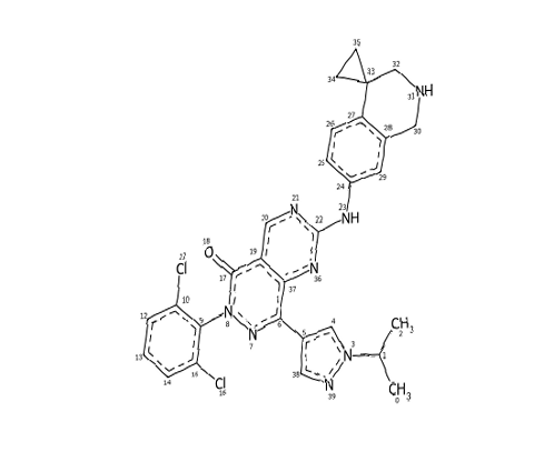 CC(C)n1cc(-c2nn(-c3c(Cl)cccc3Cl)c(=O)c3cnc(Nc4ccc5c(c4)CNCC54CC4)nc23)cn1